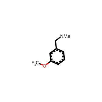 CNCc1cccc(OC(F)(F)F)c1